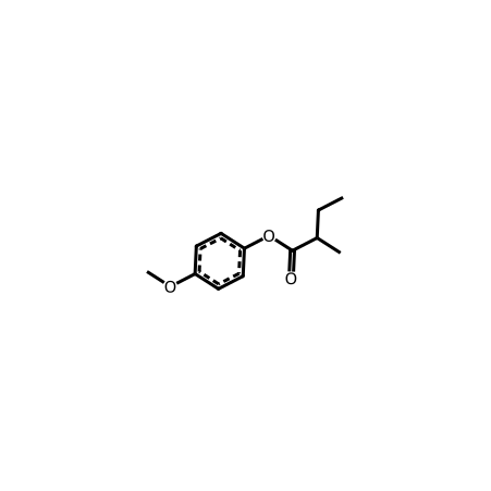 CCC(C)C(=O)Oc1ccc(OC)cc1